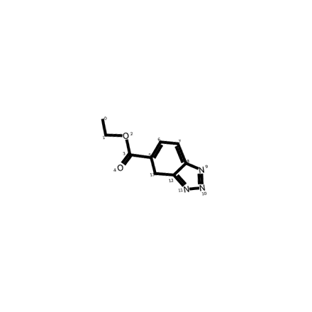 CCOC(=O)C1=CC=C2N=NN=C2C1